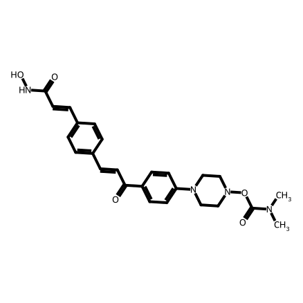 CN(C)C(=O)ON1CCN(c2ccc(C(=O)/C=C/c3ccc(/C=C/C(=O)NO)cc3)cc2)CC1